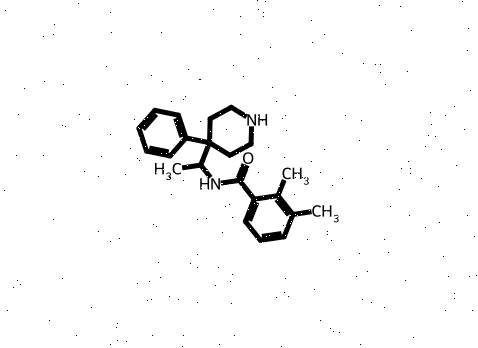 Cc1cccc(C(=O)NC(C)C2(c3ccccc3)CCNCC2)c1C